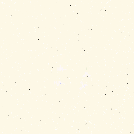 CC(C)(C)OC(=O)NC(c1cc(F)ccc1Cl)c1c(N)ccn2ccnc12